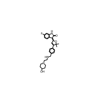 CC1(C)OC(=C2C(=O)Nc3cc(F)ccc32)C=C1c1ccc(CNCCN2CCC(O)CC2)cc1